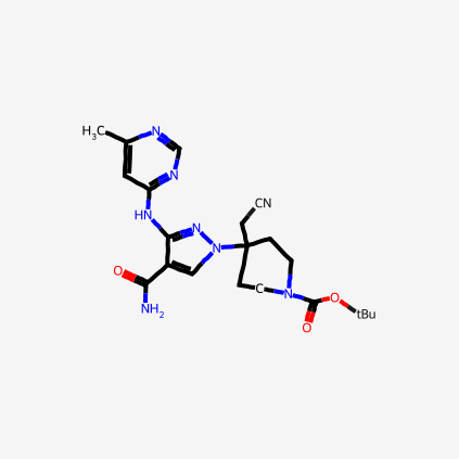 Cc1cc(Nc2nn(C3(CC#N)CCN(C(=O)OC(C)(C)C)CC3)cc2C(N)=O)ncn1